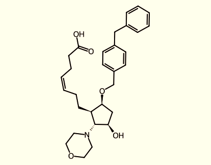 O=C(O)CC/C=C\CC[C@@H]1[C@@H](N2CCOCC2)[C@H](O)C[C@@H]1OCc1ccc(Cc2ccccc2)cc1